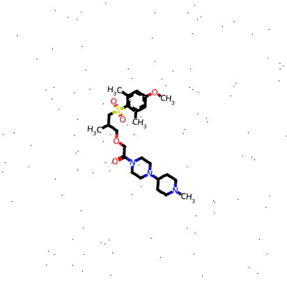 COc1cc(C)c(S(=O)(=O)CC(C)COCC(=O)N2CCN(C3CCN(C)CC3)CC2)c(C)c1